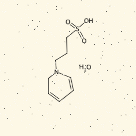 O.O=S(=O)(O)CCCN1C=CC=CC1